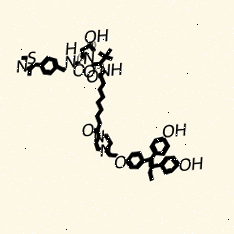 CCC(=C(c1ccc(O)cc1)c1ccc(OCCN2CCN(C(=O)CCCCCCCC(=O)N[C@H](C(=O)N3C[C@H](O)C[C@H]3C(=O)NCc3ccc(-c4scnc4C)cc3)C(C)(C)C)CC2)cc1)c1ccc(O)cc1